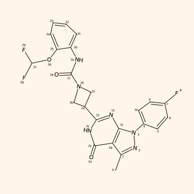 Cc1nn(-c2ccc(F)cc2)c2nc(C3CN(C(=O)Nc4ccccc4OC(F)F)C3)[nH]c(=O)c12